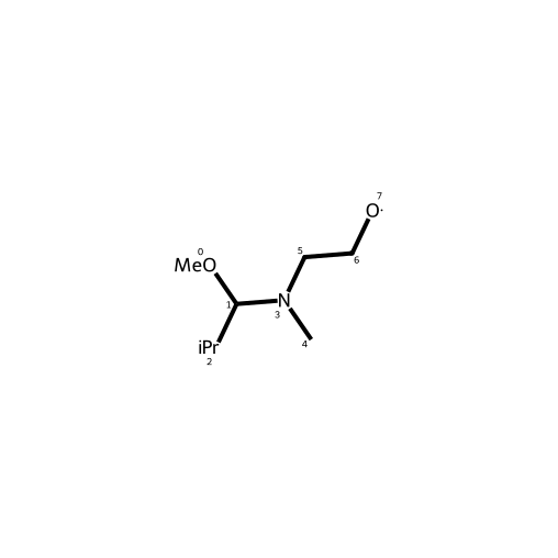 COC(C(C)C)N(C)CC[O]